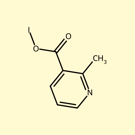 Cc1ncccc1C(=O)OI